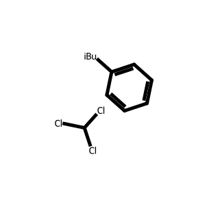 CCC(C)c1ccccc1.ClC(Cl)Cl